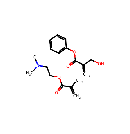 C=C(C)C(=O)OCCN(C)C.C=C(CO)C(=O)Oc1ccccc1